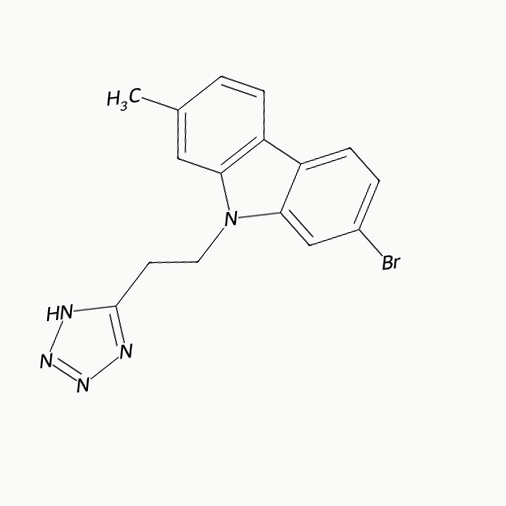 Cc1ccc2c3ccc(Br)cc3n(CCc3nnn[nH]3)c2c1